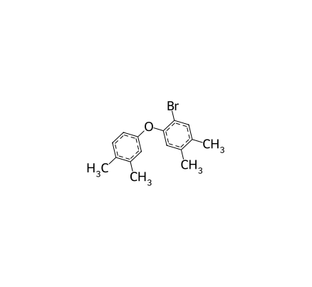 Cc1ccc(Oc2cc(C)c(C)cc2Br)cc1C